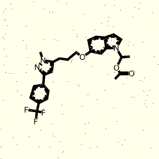 CC(=O)OC(C)n1ccc2ccc(OCCCc3cc(-c4ccc(C(F)(F)F)cc4)nn3C)cc21